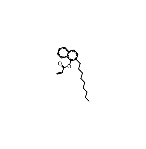 C=CC(=O)Oc1c(CCCCCCCCC)ccc2ccccc12